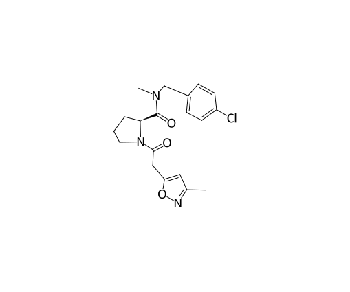 Cc1cc(CC(=O)N2CCC[C@H]2C(=O)N(C)Cc2ccc(Cl)cc2)on1